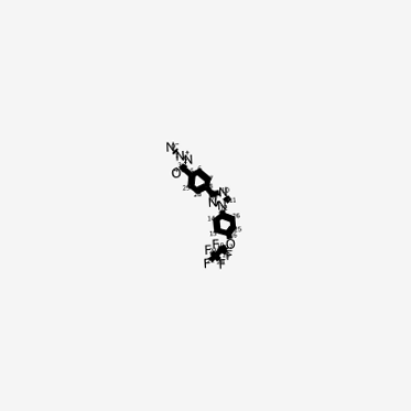 [N-]=[N+]=NC(=O)c1ccc(-c2ncn(-c3ccc(OC(F)(F)C(F)(F)F)cc3)n2)cc1